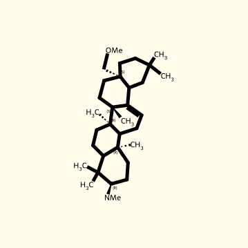 CN[C@@H]1CC[C@@]2(C)C(CC[C@]3(C)C2CC=C2C4CC(C)(C)CC[C@]4(COC)CC[C@]23C)C1(C)C